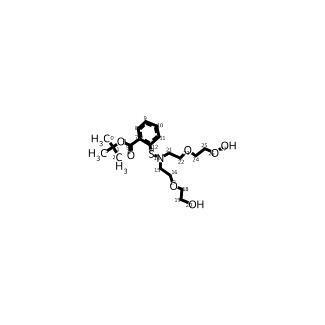 CC(C)(C)OC(=O)c1ccccc1SN(CCOCCO)CCOCCOO